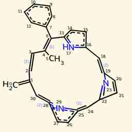 C=C1/C=C\C(C)=C(/c2ccccc2)c2ccc([nH]2)/C=C2/C=CC(=N2)/C=c2/cc/c([nH]2)=C/1